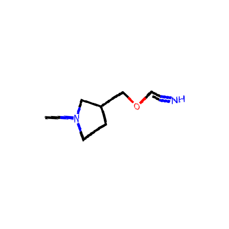 CN1CCC(COC=N)C1